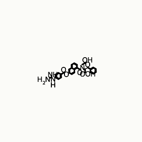 N=C(N)Nc1ccc(C(=O)Oc2ccc3c(C(=O)N(CC(=O)O)[C@@H](Cc4ccccc4)C(=O)O)cccc3c2)cc1